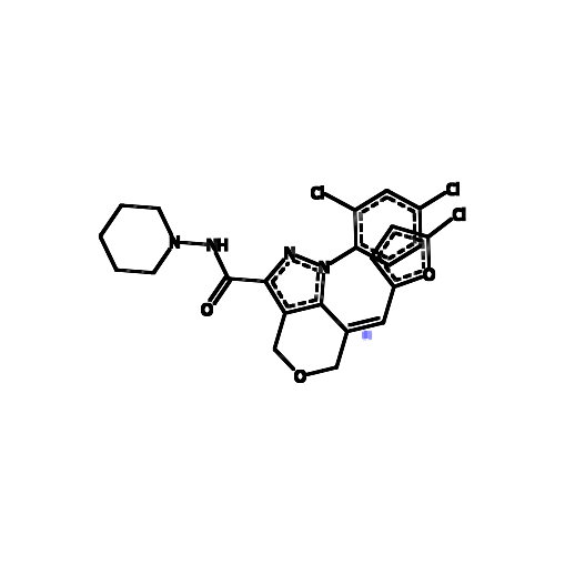 O=C(NN1CCCCC1)c1nn(-c2ccc(Cl)cc2Cl)c2c1COC/C2=C/c1ccc(Cl)o1